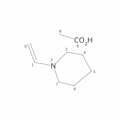 C=CN1CCCCC1.CC(=O)O